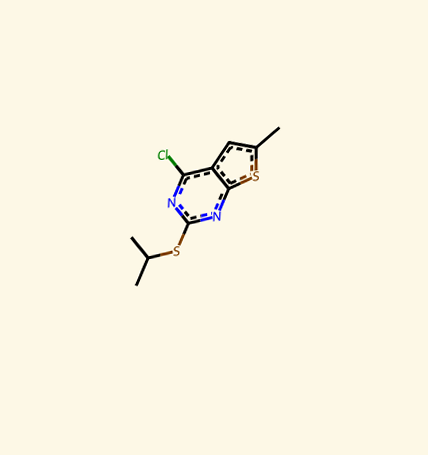 Cc1cc2c(Cl)nc(SC(C)C)nc2s1